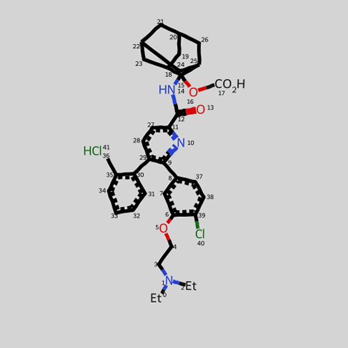 CCN(CC)CCOc1cc(-c2nc(C(=O)NC3(OC(=O)O)C4CC5CC(C4)CC3C5)ccc2-c2ccccc2C)ccc1Cl.Cl